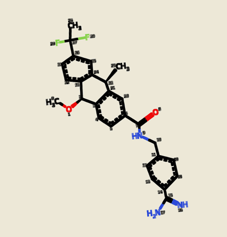 CO[C@@H]1c2ccc(C(=O)NCc3ccc(C(=N)N)cc3)cc2[C@H](C)c2cc(C(C)(F)F)ccc21